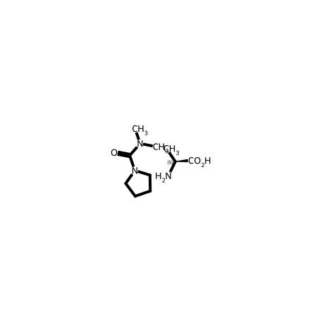 CN(C)C(=O)N1CCCC1.C[C@H](N)C(=O)O